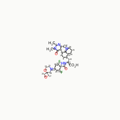 Cc1nc(C(F)(F)F)c(-c2ccc(C[C@H](NC(=O)c3c(F)cc(N4CCOC5(COC5)C4)cc3F)C(=O)O)c3cccnc23)c(=O)n1C